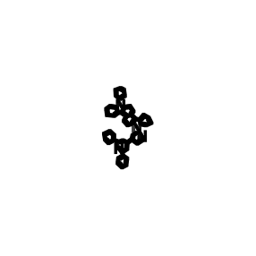 c1ccc(-c2cc(-c3ccnc(-n4c5ccccc5c5c6ccc7c(c6ccc54)c4ccccc4n7-c4ccccc4)c3)cc(-c3ccccc3)n2)cc1